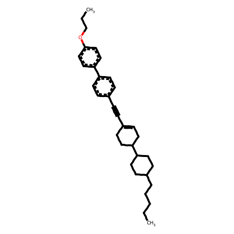 CCCCCC1CCC(C2CC=C(C#Cc3ccc(-c4ccc(OCCC)cc4)cc3)CC2)CC1